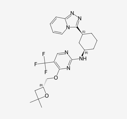 CC1(C)C[C@H](COc2nc(N[C@@H]3CCC[C@H](c4nnc5ccccn45)C3)ncc2C(F)(F)F)O1